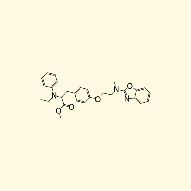 CCN(c1ccccc1)C(Cc1ccc(OCCN(C)c2nc3ccccc3o2)cc1)C(=O)OC